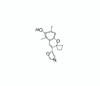 Cc1cc2c(c(C)c1O)C=C(c1cnco1)C1(CCC1)O2